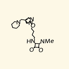 CNC1C(=O)C(=O)C1NCCCCOn1cc(CN2CCCCC2)cn1